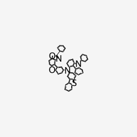 c1ccc(-c2nc3c(ccc4oc5ccc(N(c6ccc7sc8ccccc8c7c6)c6cccc7c6c6ccccc6n7-c6ccccc6)cc5c43)o2)cc1